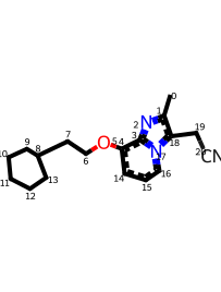 Cc1nc2c(OCCC3CCCCC3)cccn2c1CC#N